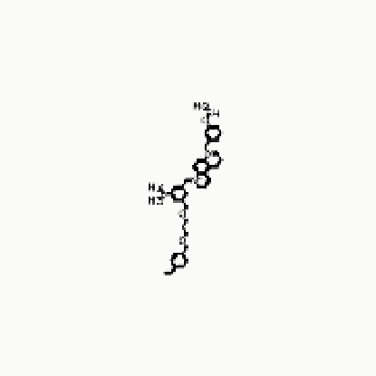 C=Cc1ccc(COCCCOCc2cc(C[n+]3cccc4c5ccc[n+](Cc6cccc(OBO)c6)c5ccc43)cc(B(O)O)c2)cc1